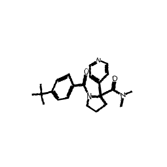 CN(C)C(=O)C1(c2ccncc2)CCCN1C(=O)c1ccc(C(C)(C)C)cc1